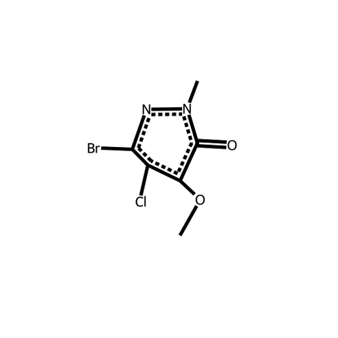 COc1c(Cl)c(Br)nn(C)c1=O